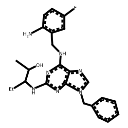 CCC(Nc1nc(NCc2cc(F)ccc2N)c2ncn(Cc3ccccc3)c2n1)C(C)O